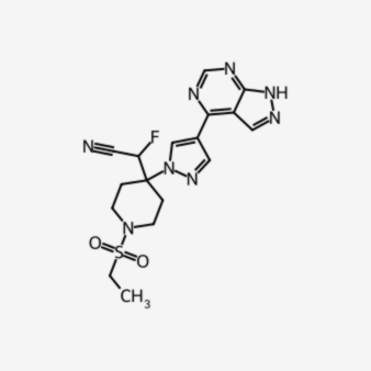 CCS(=O)(=O)N1CCC(C(F)C#N)(n2cc(-c3ncnc4[nH]ncc34)cn2)CC1